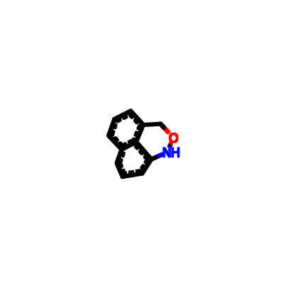 c1cc2c3c(cccc3c1)NOC2